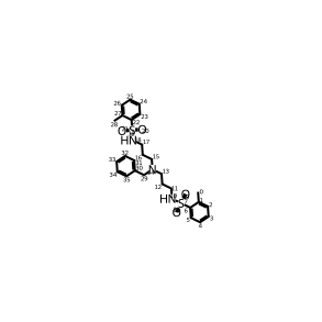 Cc1ccccc1S(=O)(=O)NCCCN(CCCNS(=O)(=O)c1ccccc1C)Cc1ccccc1